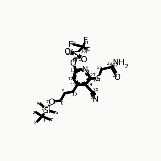 CC(C)(C)[Si](C)(C)OCCCc1cc(OS(=O)(=O)C(F)(F)F)nc(SCC(N)=O)c1C#N